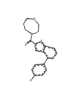 O=C(c1cc2c(-c3ccc(F)cc3)cccc2s1)N1CCCOCC1